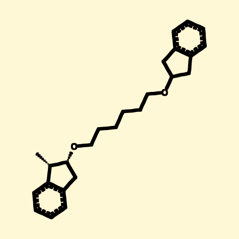 C[C@H]1c2ccccc2C[C@H]1OCCCCCCOC1Cc2ccccc2C1